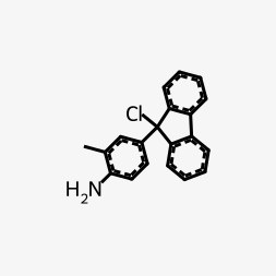 Cc1cc(C2(Cl)c3ccccc3-c3ccccc32)ccc1N